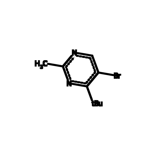 Cc1ncc(Br)c(C(C)(C)C)n1